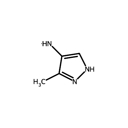 Cc1n[nH]cc1[NH]